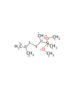 CO[Si](C)(OC)C(C)CCC(C)C